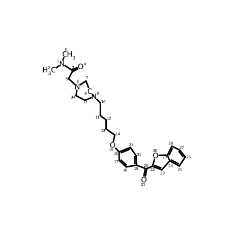 CN(C)C(=O)CN1CCN(CCCCCOc2ccc(C(=O)c3cc4ccccc4o3)cc2)CC1